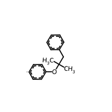 CC(C)(Cc1ccccc1)Oc1cc[c]cc1